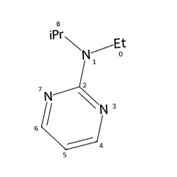 CCN(c1ncccn1)C(C)C